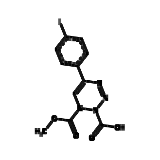 COC(=O)N1C=C(c2ccc(I)cc2)N=NN1C(=O)O